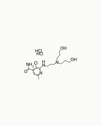 Cc1cc(C(N)=O)c(Cl)c(NCCCN(CCCO)CCCO)n1.Cl.Cl